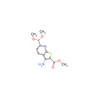 COC(=O)c1sc2nc(C(OC)OC)ccc2c1N